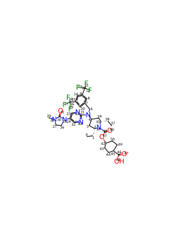 CC[C@@H]1CC(N(Cc2cc(C(F)(F)F)cc(C(F)(F)F)c2)c2ncc(N3CCN(C)C3=O)cn2)C[C@H](CC)N1C(=O)OC1CCC(C(=O)O)CC1